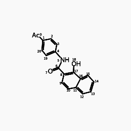 CC(=O)c1ccc(NC(=O)c2ccc3ccccc3c2O)cc1